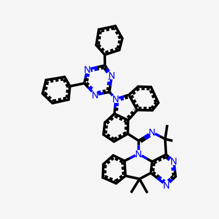 CC1(C)N=C(c2cccc3c2c2ccccc2n3-c2nc(-c3ccccc3)nc(-c3ccccc3)n2)N2c3ccccc3C(C)(C)c3ncnc1c32